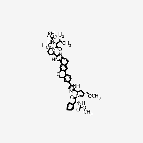 COC[C@H]1CC(c2ncc(-c3ccc4c(c3)COc3cc5c(ccc6nc(C7CC[C@H](C)N7C(=O)[C@@H](NC(=O)OC)C(C)C)[nH]c65)cc3-4)[nH]2)N(C(=O)[C@@H](NC(=O)OC)c2ccccc2)C1